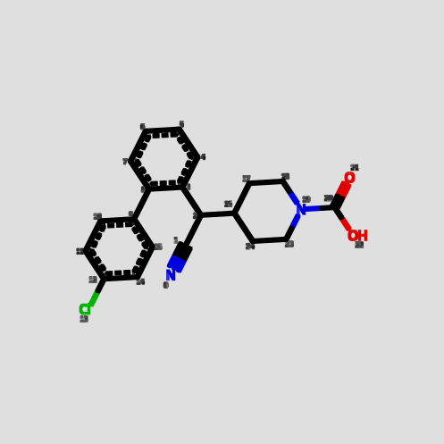 N#CC(c1ccccc1-c1ccc(Cl)cc1)C1CCN(C(=O)O)CC1